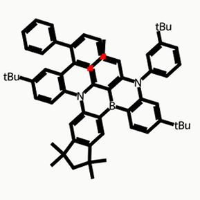 Cc1cc2c3c(c1)N(c1ccc(C(C)(C)C)cc1-c1ccccc1-c1ccccc1)c1cc4c(cc1B3c1ccc(C(C)(C)C)cc1N2c1cccc(C(C)(C)C)c1)C(C)(C)CC4(C)C